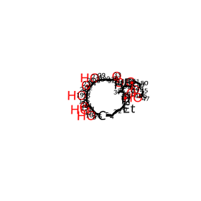 CC[C@H]1/C=C\C=C/C[C@@H](C)[C@H](O)[C@@](C)(O)C(=O)[C@@H](C)[C@H](O)[C@@H](C)C(=O)[C@@H](C)[C@H](O)[C@@H](C)/C=C/C(=O)O[C@@H]2C(C)[C@H](CC1)O[C@@]1(O[C@@H](C[C@@H](C)O)[C@@H](C)CC1=O)[C@H]2CC